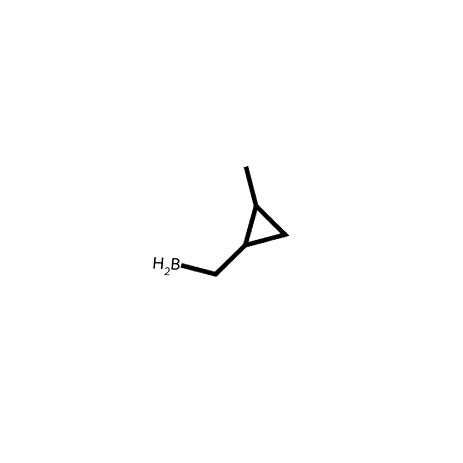 BCC1CC1C